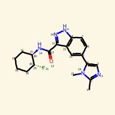 Cc1ncc(-c2ccc3[nH]nc(C(=O)N[C@@H]4CCCC[C@H]4F)c3c2)n1C